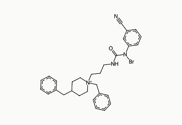 N#Cc1cccc(N(Br)C(=O)NCCC[N+]2(Cc3ccccc3)CCC(Cc3ccccc3)CC2)c1